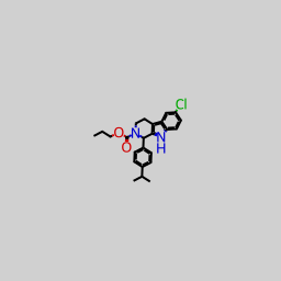 CCCOC(=O)N1CCc2c([nH]c3ccc(Cl)cc23)C1c1ccc(C(C)C)cc1